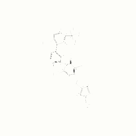 Cc1cnc(C(C)(C)C)nc1-c1ccc(Cl)c(-n2c(C)nc(OCc3ccn(C)n3)c(Br)c2=O)c1